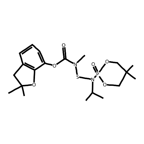 CC(C)N(SN(C)C(=O)Oc1cccc2c1OC(C)(C)C2)P1(=O)OCC(C)(C)CO1